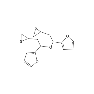 c1coc(C(CC2CS2)OC(CC2CS2)c2ccco2)c1